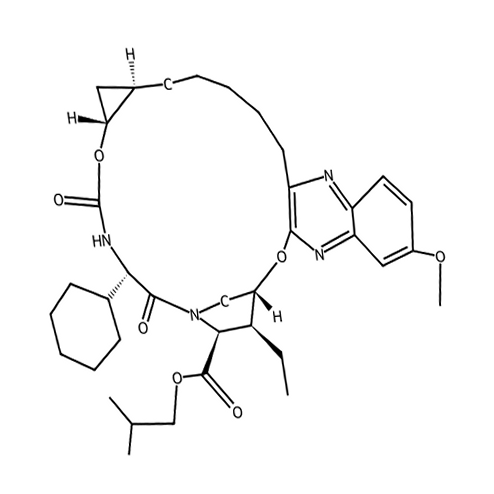 CC[C@@H]1[C@@H]2CN(C(=O)[C@H](C3CCCCC3)NC(=O)O[C@@H]3C[C@H]3CCCCCc3nc4ccc(OC)cc4nc3O2)[C@@H]1C(=O)OCC(C)C